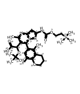 Cc1nc2cc(NC(=O)OCC[Si](C)(C)C)nn2c(-c2cc(F)c3c(c2C)CCCO3)c1C(OC(C)(C)C)C(=O)O